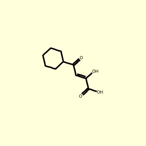 O=C(O)/C(O)=C/C(=O)C1CCCCC1